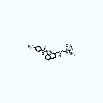 N/C(=N/[N+](=O)[O-])NCCNCc1ccc2cccc(NS(=O)(=O)c3ccc(C(F)(F)F)cc3)c2n1